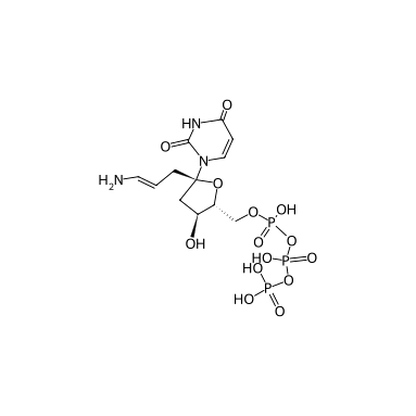 NC=CC[C@]1(n2ccc(=O)[nH]c2=O)C[C@H](O)[C@@H](COP(=O)(O)OP(=O)(O)OP(=O)(O)O)O1